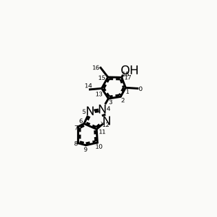 Cc1cc(-n2nc3ccccc3n2)c(C)c(C)c1O